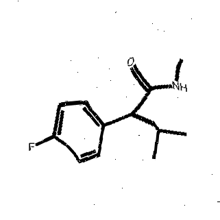 CNC(=O)C(c1ccc(F)cc1)C(C)C